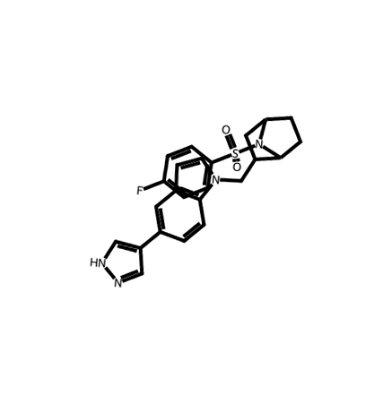 O=S(=O)(c1ccc(F)cc1)N1C2CCC1C(Cn1ccc3cc(-c4cn[nH]c4)ccc31)C2